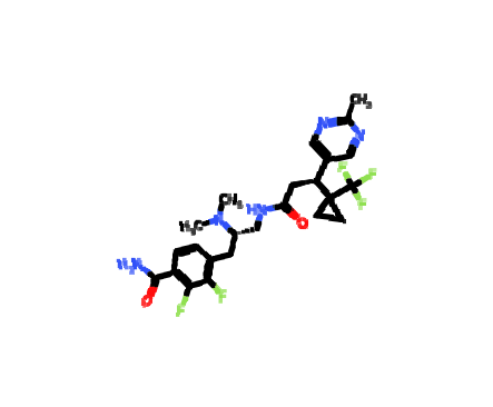 Cc1ncc([C@H](CC(=O)NC[C@H](Cc2ccc(C(N)=O)c(F)c2F)N(C)C)C2(C(F)(F)F)CC2)cn1